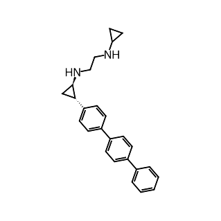 c1ccc(-c2ccc(-c3ccc([C@@H]4C[C@H]4NCCNC4CC4)cc3)cc2)cc1